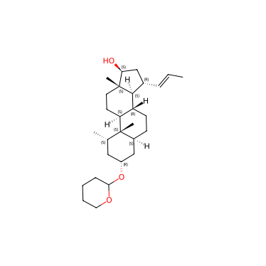 CC=C[C@H]1C[C@H](O)[C@@]2(C)CC[C@H]3[C@@H](CC[C@H]4C[C@H](OC5CCCCO5)C[C@H](C)[C@@]43C)[C@H]12